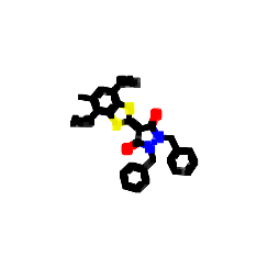 CC(=O)Oc1cc(C)c(OC(C)=O)c2c1SC(=C1C(=O)N(Cc3ccccc3)N(Cc3ccccc3)C1=O)S2